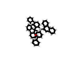 CC1(c2c(N(c3ccc(-c4ccccc4)cc3)c3cc4ccccc4c4ccccc34)ccc3c2oc2ccccc23)c2ccccc2-c2ccccc21